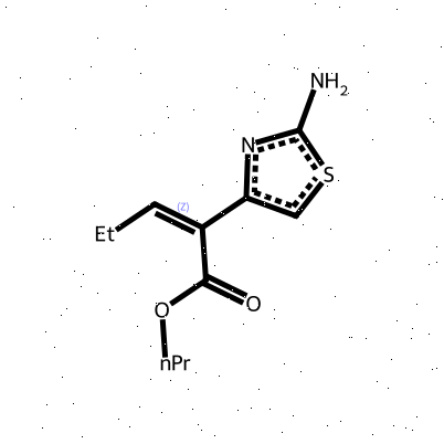 CC/C=C(\C(=O)OCCC)c1csc(N)n1